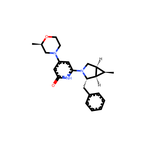 C[C@@H]1[C@@H]2CN(c3cc(N4CCO[C@H](C)C4)cc(=O)[nH]3)[C@@H](Cc3ccccc3)[C@H]12